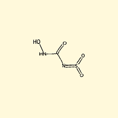 O=C(N=S(=O)=O)NO